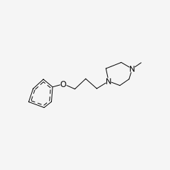 CN1CCN(CCCOc2ccccc2)CC1